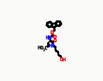 O=C(O)CC[C@H](NC(=O)OCC1c2ccccc2-c2ccccc21)C(=O)NCCCCCO